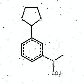 CN(C(=O)O)c1cccc(C2SCCS2)c1